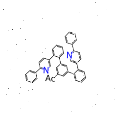 CC(=O)c1cc(-c2ccccc2-c2ccc(-c3ccccc3)nc2)cc(-c2ccccc2-c2ccc(-c3ccccc3)nc2)c1